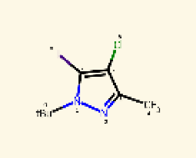 CC(C)(C)n1nc(C(F)(F)F)c(Cl)c1I